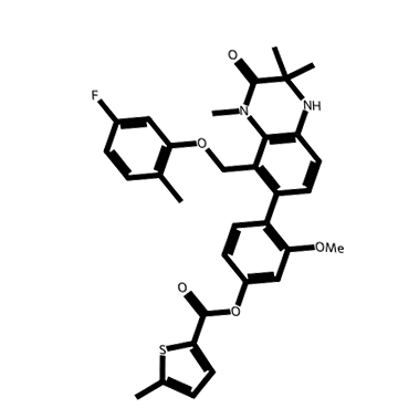 COc1cc(OC(=O)c2ccc(C)s2)ccc1-c1ccc2c(c1COc1cc(F)ccc1C)N(C)C(=O)C(C)(C)N2